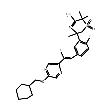 CC1(c2cc(C=C(F)c3cnc(OCC4CCCCC4)cn3)ccc2F)CS(=O)(=O)C(C)(C)C(N)=N1